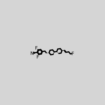 N#Cc1c(F)cc(CC[C@H]2CC[C@H]([C@H]3CC[C@H](C=CCCF)CC3)CC2)cc1F